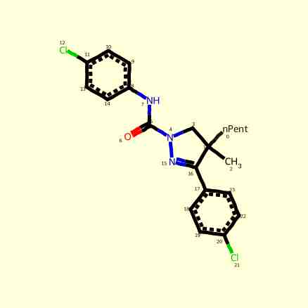 CCCCCC1(C)CN(C(=O)Nc2ccc(Cl)cc2)N=C1c1ccc(Cl)cc1